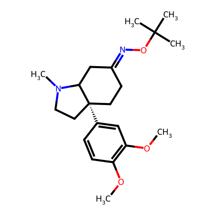 COc1ccc([C@@]23CCC(=NOC(C)(C)C)CC2N(C)CC3)cc1OC